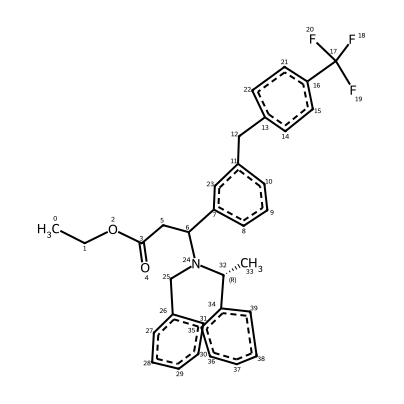 CCOC(=O)CC(c1cccc(Cc2ccc(C(F)(F)F)cc2)c1)N(Cc1ccccc1)[C@H](C)c1ccccc1